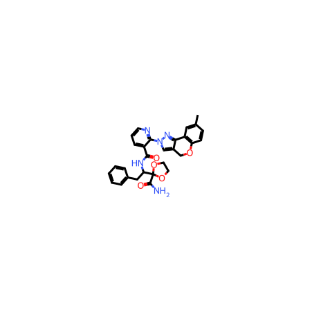 Cc1ccc2c(c1)-c1nn(-c3ncccc3C(=O)NC(Cc3ccccc3)C3(C(N)=O)OCCO3)cc1CO2